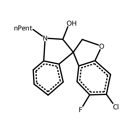 CCCCCN1c2ccccc2C2(COc3cc(Cl)c(F)cc32)C1O